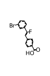 O=C(O)c1ccc(/C=C(\F)c2cccc(Br)c2)cc1